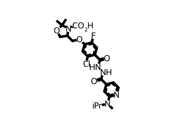 CC(C)N(C)c1cc(C(=O)NNC(=O)c2cc(F)c(OCC3COC(C)(C)N3C(=O)O)cc2Cl)ccn1